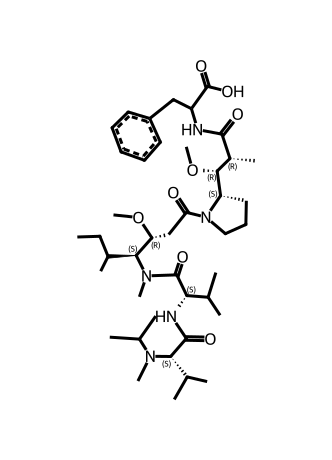 CCC(C)[C@@H]([C@@H](CC(=O)N1CCC[C@H]1[C@H](OC)[C@@H](C)C(=O)NC(Cc1ccccc1)C(=O)O)OC)N(C)C(=O)[C@@H](NC(=O)[C@H](C(C)C)N(C)C(C)C)C(C)C